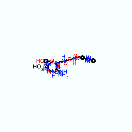 N=C(N)NC[C@@H]1NC(=O)[C@H](CCCCNC(=O)CCOCCNC(=O)OCc2ccc(-c3nnc(-c4ccccc4)nn3)cc2)NC(=O)[C@@H](Cc2ccc(O)cc2)NC(=O)[C@H](CC(=O)O)NC(=O)CNC1=O